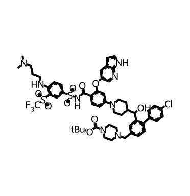 CN(C)CCCNc1ccc(S(=O)(=O)NC(=O)c2ccc(N3CCC(C(O)c4cc(CN5CCN(C(=O)OC(C)(C)C)CC5)ccc4-c4ccc(Cl)cc4)CC3)cc2Oc2cnc3[nH]ccc3c2)cc1S(=O)(=O)C(F)(F)F